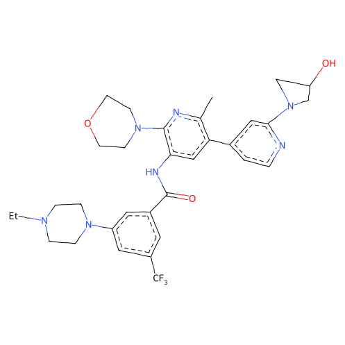 CCN1CCN(c2cc(C(=O)Nc3cc(-c4ccnc(N5CC(O)C5)c4)c(C)nc3N3CCOCC3)cc(C(F)(F)F)c2)CC1